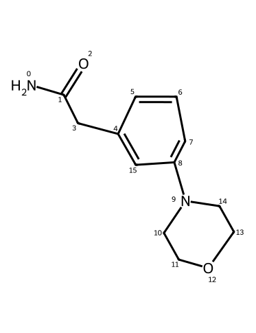 NC(=O)Cc1cccc(N2CCOCC2)c1